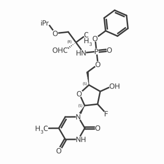 Cc1cn([C@H]2O[C@@H](COP(=O)(N[C@@](C)(C=O)COC(C)C)Oc3ccccc3)C(O)C2F)c(=O)[nH]c1=O